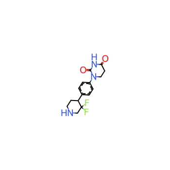 O=C1CCN(c2ccc(C3CCNCC3(F)F)cc2)C(=O)N1